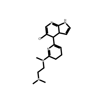 CN(C)CCN(C)C1=NC(C2C(Cl)=CN=C3NC=CC32)=CCC1